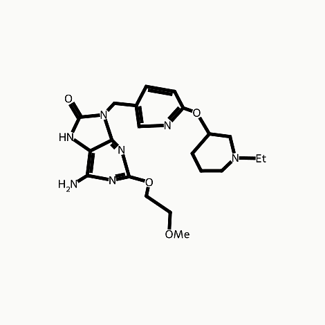 CCN1CCCC(Oc2ccc(Cn3c(=O)[nH]c4c(N)nc(OCCOC)nc43)cn2)C1